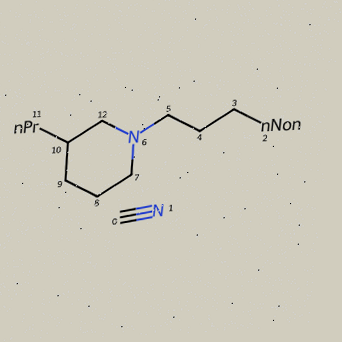 C#N.CCCCCCCCCCCCN1CCCC(CCC)C1